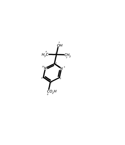 CC(C)(O)c1ncc(C(=O)O)cn1